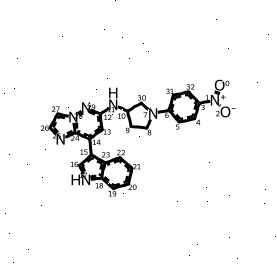 O=[N+]([O-])c1ccc(N2CCC(Nc3cc(-c4c[nH]c5ccccc45)c4nccn4n3)C2)cc1